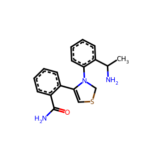 CC(N)c1ccccc1N1CSC=C1c1ccccc1C(N)=O